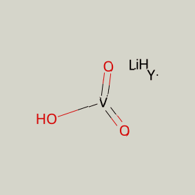 [LiH].[O]=[V](=[O])[OH].[Y]